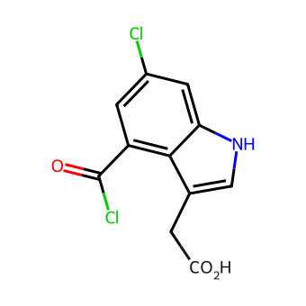 O=C(O)Cc1c[nH]c2cc(Cl)cc(C(=O)Cl)c12